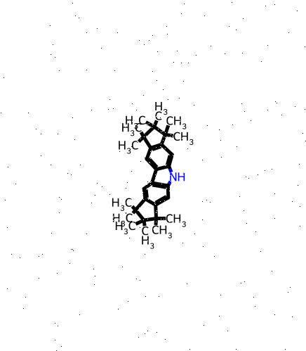 CC1(C)c2cc3[nH]c4cc5c(cc4c3cc2C(C)(C)C1(C)C)C(C)(C)C(C)(C)C5(C)C